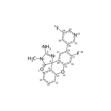 CN1C(=O)C2(N=C1N)c1ccccc1Oc1cc(F)c(-c3cncc(F)c3)cc12